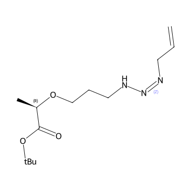 C=CC/N=N\NCCCO[C@H](C)C(=O)OC(C)(C)C